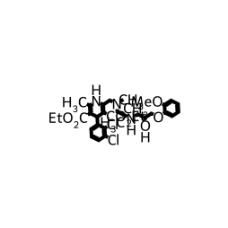 CCOC(=O)C1=C(C)NC(CN(C)CC(C)(C)NCC(O)COc2ccccc2OC)=C(C(=O)OCC)C1c1cccc(Cl)c1Cl